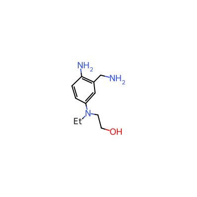 CCN(CCO)c1ccc(N)c(CN)c1